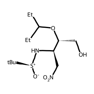 CCC(CC)O[C@H](CO)[C@@H](C[N+](=O)[O-])N[S@@+]([O-])C(C)(C)C